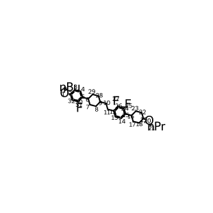 CCCCOc1ccc(C2CCC(CCc3ccc(C4CCC(OCCC)CC4)c(F)c3F)CC2)c(F)c1